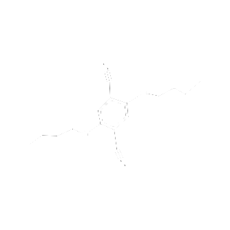 CCCCOc1cc(C#N)c(OCCCC)cc1C#N